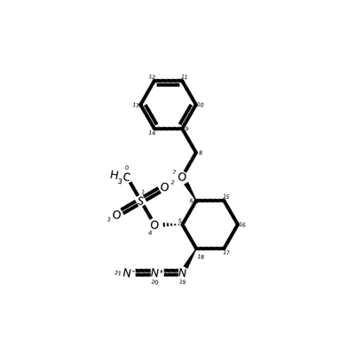 CS(=O)(=O)O[C@@H]1[C@@H](OCc2ccccc2)CCC[C@H]1N=[N+]=[N-]